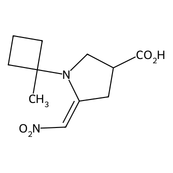 CC1(N2CC(C(=O)O)CC2=C[N+](=O)[O-])CCC1